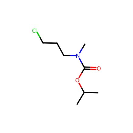 CC(C)OC(=O)N(C)CCCCl